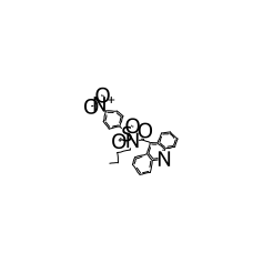 CCCCN(C(=O)c1c2ccccc2nc2ccccc12)S(=O)(=O)c1ccc([N+](=O)[O-])cc1